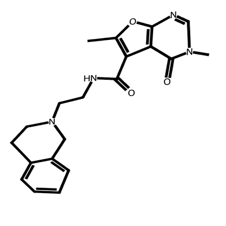 Cc1oc2ncn(C)c(=O)c2c1C(=O)NCCN1CCc2ccccc2C1